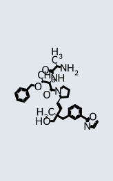 C[C@H](N)C(=O)N[C@H](C(=O)N1CCC[C@H]1/C=C/[C@](C)(CO)Cc1cccc(-c2ncco2)c1)[C@@H](C)OCc1ccccc1